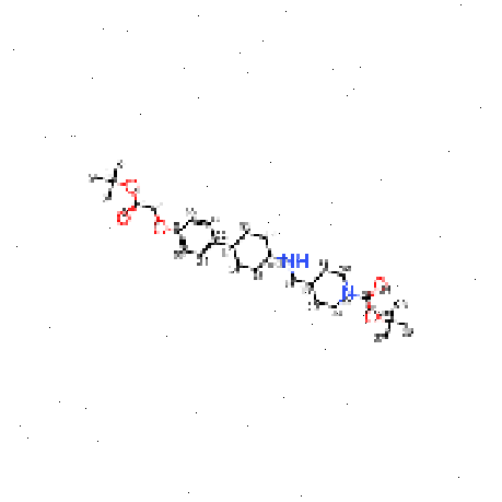 CC(C)(C)OC(=O)COc1ccc(C2CCC(NCC3CCN(C(=O)OC(C)(C)C)CC3)CC2)cc1